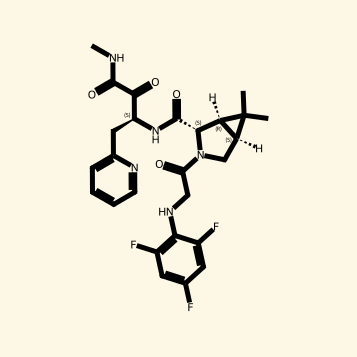 CNC(=O)C(=O)[C@H](Cc1ccccn1)NC(=O)[C@@H]1[C@@H]2[C@H](CN1C(=O)CNc1c(F)cc(F)cc1F)C2(C)C